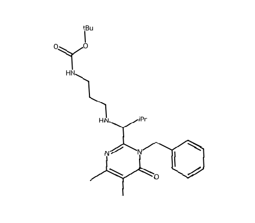 Cc1nc(C(NCCCNC(=O)OC(C)(C)C)C(C)C)n(Cc2ccccc2)c(=O)c1C